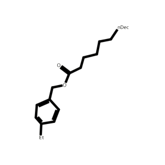 CCCCCCCCCCCCCCCC(=O)OCc1ccc(CC)cc1